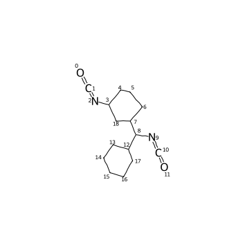 O=C=NC1CCCC(C(N=C=O)C2CCCCC2)C1